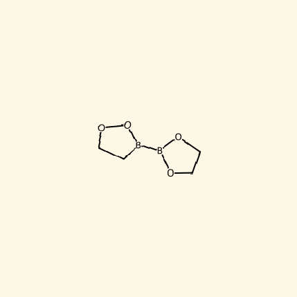 C1CB(B2OCCO2)OO1